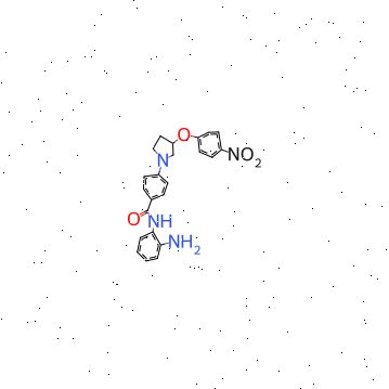 Nc1ccccc1NC(=O)c1ccc(N2CCC(Oc3ccc([N+](=O)[O-])cc3)C2)cc1